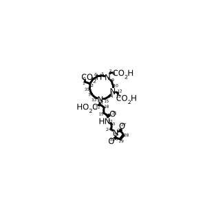 O=C(O)CC1CCCN(CC(=O)O)CCN(CC(=O)O)CCN(C(CCC(=O)NCCN2C(=O)C=CC2=O)C(=O)O)CCC1